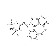 CC1(C)CC(=NOC(=O)N2c3ccccc3CCc3ccccc32)CC(C)(C)N1